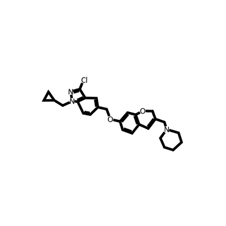 Clc1nn(CC2CC2)c2ccc(COc3ccc4c(c3)OCC(CN3CCCCC3)=C4)cc12